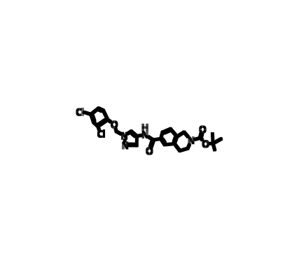 CC(C)(C)OC(=O)N1CCc2cc(C(=O)Nc3cnn(COc4ccc(Cl)cc4Cl)c3)ccc2C1